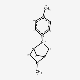 Cc1ccc(N2CC3CC2CN3C)cc1